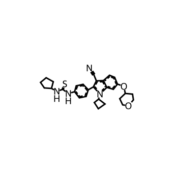 N#Cc1c(-c2ccc(NC(=S)NC3CCCC3)cc2)n(C2CCC2)c2cc(OC3CCOCC3)ccc12